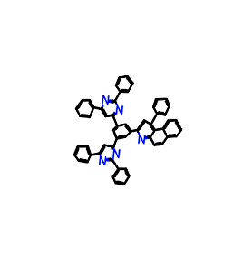 c1ccc(-c2cc(-c3cc(-c4cc(-c5ccccc5)nc(-c5ccccc5)n4)cc(-c4cc(-c5ccccc5)c5c(ccc6ccccc65)n4)c3)nc(-c3ccccc3)n2)cc1